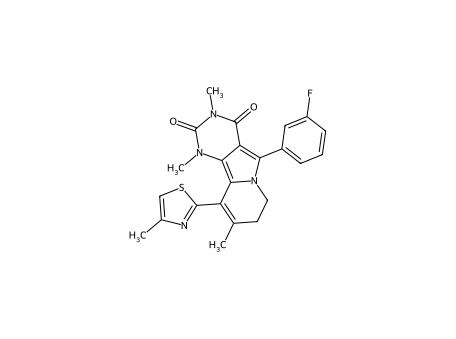 CC1=C(c2nc(C)cs2)c2c3c(c(-c4cccc(F)c4)n2CC1)c(=O)n(C)c(=O)n3C